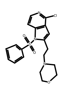 O=S(=O)(c1ccccc1)n1c(CCN2CCOCC2)cc2c(Cl)nccc21